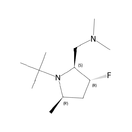 C[C@@H]1C[C@@H](F)[C@H](CN(C)C)N1C(C)(C)C